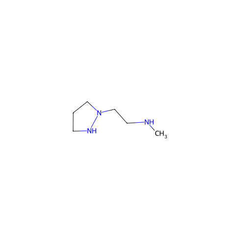 CNCCN1CCCN1